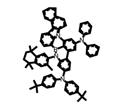 Cc1cc2c(cc1N1B3c4c(cc(N(c5ccccc5)c5ccccc5)cc4-n4c5ccc6ccccc6c5c5cccc3c54)-c3ccc(N(c4ccc(C(C)(C)C)cc4)c4ccc(C(C)(C)C)cc4)cc31)C(C)(C)CCC2(C)C